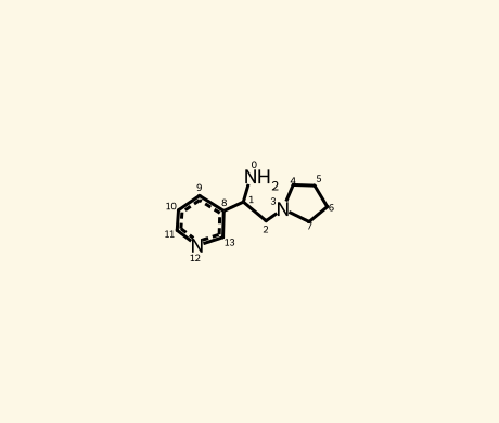 NC(CN1CCCC1)c1cccnc1